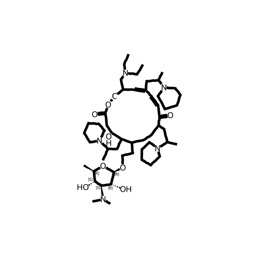 CCN(CC)CC1C=C(CC(C)N2CCCCC2)C=CC(=O)C(CC(C)N2CCCCC2)CCC(CCO[C@@H]2O[C@H](C)[C@@H](O)[C@H](N(C)C)[C@H]2O)C(CC(C)N2CCCCC2)C(O)CC(=O)OC1